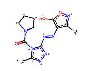 CCc1noc(O)c1N=Nc1nnc(C)n1C(=O)N1CCCC1